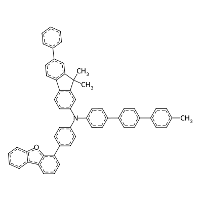 Cc1ccc(-c2ccc(-c3ccc(N(c4ccc(-c5cccc6c5oc5ccccc56)cc4)c4ccc5c(c4)C(C)(C)c4cc(-c6ccccc6)ccc4-5)cc3)cc2)cc1